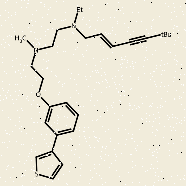 CCN(CC=CC#CC(C)(C)C)CCN(C)CCOc1cccc(-c2ccsc2)c1